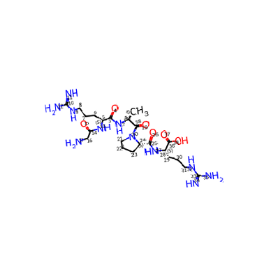 C[C@H](NC(=O)[C@H](CCCNC(=N)N)NC(=O)CN)C(=O)N1CCC[C@H]1C(=O)N[C@@H](CCCNC(=N)N)C(=O)O